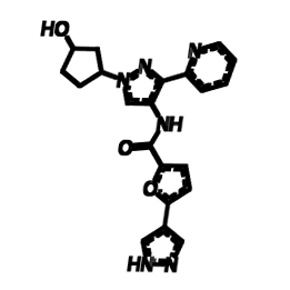 O=C(Nc1cn(C2CCC(O)C2)nc1-c1ccccn1)c1ccc(-c2cn[nH]c2)o1